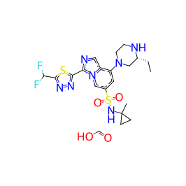 CC[C@@H]1CN(c2cc(S(=O)(=O)NC3(C)CC3)cn3c(-c4nnc(C(F)F)s4)ncc23)CCN1.O=CO